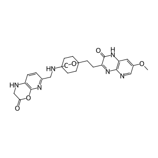 COc1cnc2nc(CCC34CCC(NCc5ccc6c(n5)OC(=O)CN6)(CC3)CO4)c(=O)[nH]c2c1